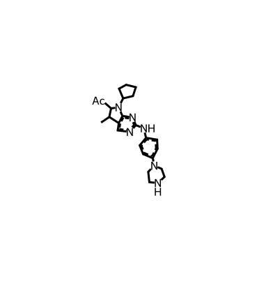 CC(=O)C1C(C)c2cnc(Nc3ccc(N4CCNCC4)cc3)nc2N1C1CCCC1